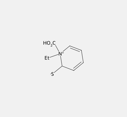 CC[N+]1(C(=O)O)C=CC=CC1[S]